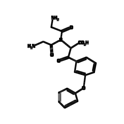 NCC(=O)N(C(=O)CN)C(C(=O)O)C(=O)c1cccc(Oc2ccccc2)c1